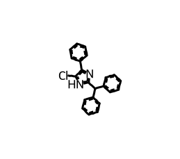 Clc1[nH]c(C(c2ccccc2)c2ccccc2)nc1-c1ccccc1